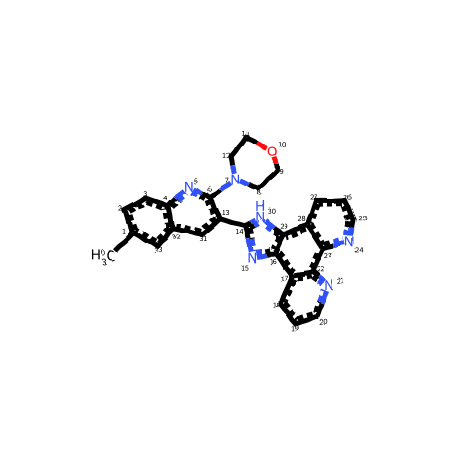 Cc1ccc2nc(N3CCOCC3)c(-c3nc4c5cccnc5c5ncccc5c4[nH]3)cc2c1